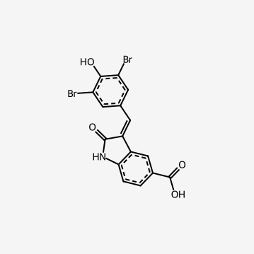 O=C1Nc2ccc(C(=O)O)cc2C1=Cc1cc(Br)c(O)c(Br)c1